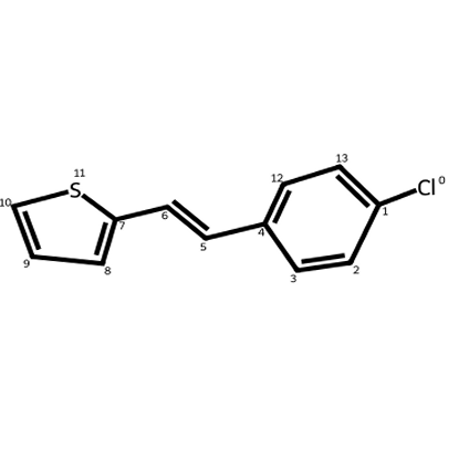 Clc1ccc(C=Cc2cccs2)cc1